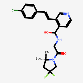 CC[C@@]1(C#N)CC(F)(F)CN1C(=O)CNC(O)c1ccncc1/C=C/c1ccc(Cl)cc1